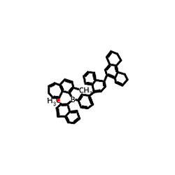 Cc1ccc2c(c1B(c1cccc(-c3ccc(-c4cc5c(c6c4C=CCC6)CCC=C5)c4ccccc34)c1)c1c(C)ccc3ccccc13)C=CCC=C2